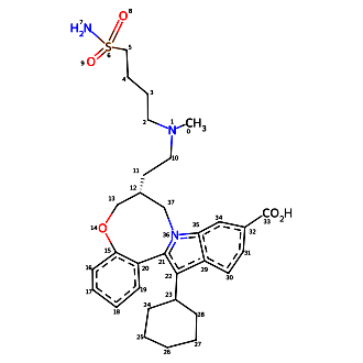 CN(CCCCS(N)(=O)=O)CC[C@H]1COc2ccccc2-c2c(C3CCCCC3)c3ccc(C(=O)O)cc3n2C1